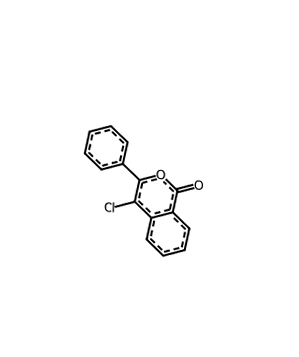 O=c1oc(-c2ccccc2)c(Cl)c2ccccc12